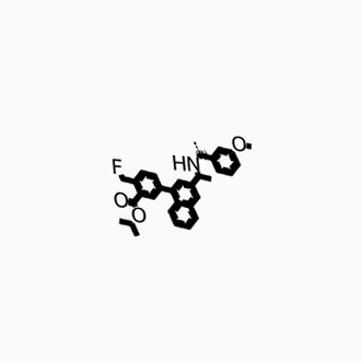 COc1cccc([C@@H](C)NC(C)c2cc(-c3ccc(CF)c(C(=O)OC(C)C)c3)c3ccccc3c2)c1